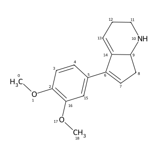 COc1ccc(C2=CCC3NCCC=C23)cc1OC